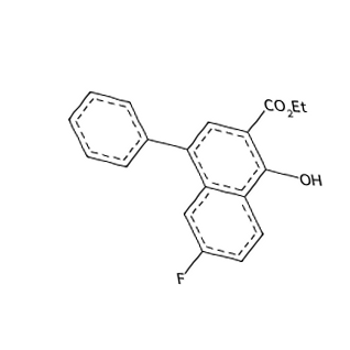 CCOC(=O)c1cc(-c2ccccc2)c2cc(F)ccc2c1O